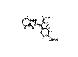 CO[n+]1ccc2c(-c3nc4ccccc4s3)c(NC(C)=O)sc2c1